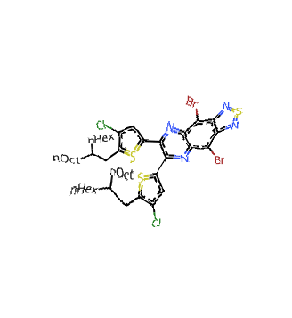 CCCCCCCCC(CCCCCC)Cc1sc(-c2nc3c(Br)c4nsnc4c(Br)c3nc2-c2cc(Cl)c(CC(CCCCCC)CCCCCCCC)s2)cc1Cl